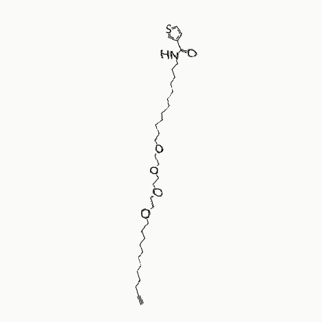 C#CCCCCCCCCCCOCCOCCOCCOCCCCCCCCCCCCNC(=O)c1ccsc1